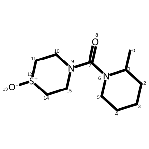 CC1CCCCN1C(=O)N1CC[S+]([O-])CC1